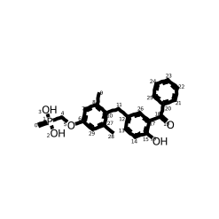 C=P(O)(O)COc1cc(C)c(Cc2ccc(O)c(C(=O)c3ccccc3)c2)c(C)c1